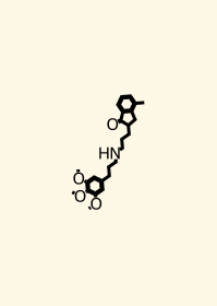 COc1cc(CCCNCCCC2Cc3c(C)cccc3C2=O)cc(OC)c1OC